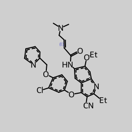 CCOc1cc2nc(CC)c(C#N)c(Oc3ccc(OCc4ccccn4)c(Cl)c3)c2cc1NC(=O)/C=C/CN(C)C